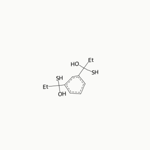 CCC(O)(S)c1cccc(C(O)(S)CC)c1